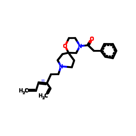 C=C/C=C(\C=C)CCN1CCC2(CC1)CN(C(=O)Cc1ccccc1)CCO2